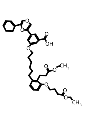 CCOC(=O)CCCOc1cccc(CCCCCCOc2cc(C(=O)O)cc(C3=COC=C(C4=CC=CCC4)O3)c2)c1CCC(=O)OCC